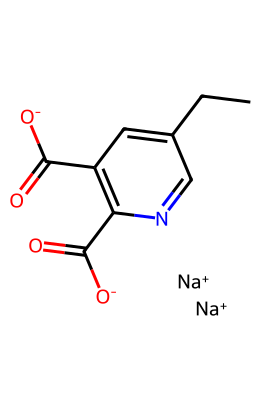 CCc1cnc(C(=O)[O-])c(C(=O)[O-])c1.[Na+].[Na+]